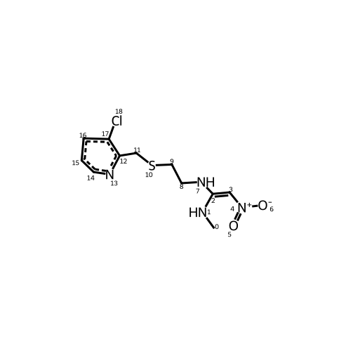 CNC(=C[N+](=O)[O-])NCCSCc1ncccc1Cl